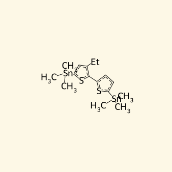 CCc1c[c]([Sn]([CH3])([CH3])[CH3])sc1-c1cc[c]([Sn]([CH3])([CH3])[CH3])s1